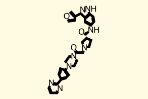 O=C(Nc1ccc2[nH]nc(-c3ccoc3)c2c1)[C@@H]1CCN(CC(=O)N2CCN(c3ccc(-c4ncccn4)cc3)CC2)C1